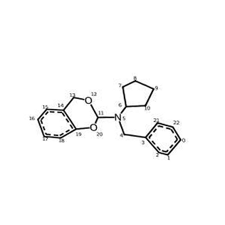 c1ccc(CN(C2CCCC2)C2OCc3ccccc3O2)cc1